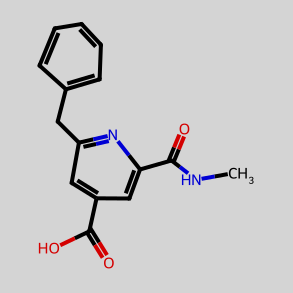 CNC(=O)c1cc(C(=O)O)cc(Cc2ccccc2)n1